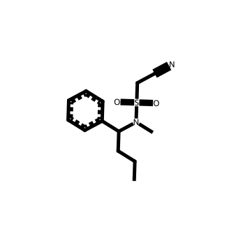 CCCC(c1ccccc1)N(C)S(=O)(=O)CC#N